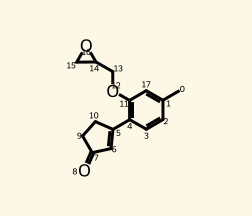 Cc1ccc(C2=CC(=O)CC2)c(OCC2CO2)c1